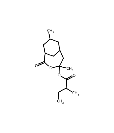 CCC(C)C(=O)OC1(C)CC2CC(C)CC(C2)C(=O)O1